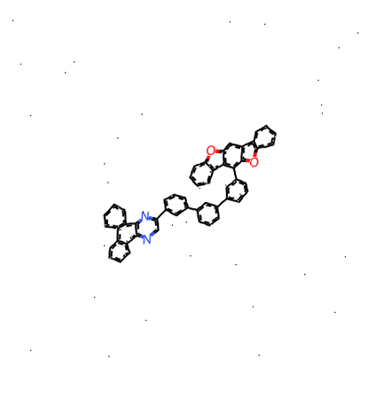 c1cc(-c2cccc(-c3cnc4c5ccccc5c5ccccc5c4n3)c2)cc(-c2cccc(-c3c4oc5ccccc5c4cc4oc5ccccc5c34)c2)c1